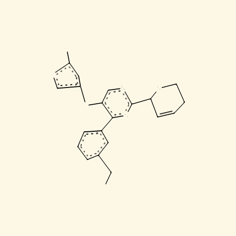 O=CCc1cccc(-c2nc(C3C=CCCN3)ncc2Sc2csc(Cl)c2)c1